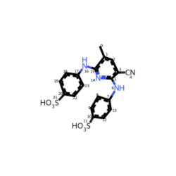 Cc1cc(C#N)c(Nc2ccc(S(=O)(=O)O)cc2)nc1Nc1ccc(S(=O)(=O)O)cc1